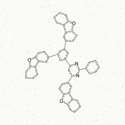 c1ccc(-c2nc(-c3cc(-c4ccc5oc6ccccc6c5c4)cc(-c4ccc5oc6ccccc6c5c4)c3)cc(-c3ccc4oc5ccccc5c4c3)n2)cc1